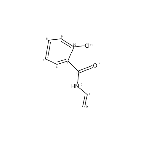 C=CNC(=O)c1ccccc1Cl